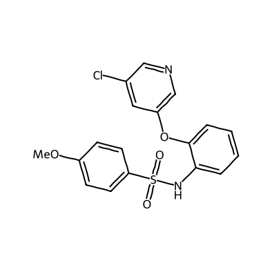 COc1ccc(S(=O)(=O)Nc2ccccc2Oc2cncc(Cl)c2)cc1